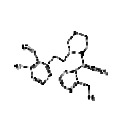 C=C=C(c1cccnc1CC)N1CCSCC1CCc1cccc(C)c1C=C